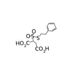 O=C(O)CC(C(=O)O)S(=O)(=O)SCCc1ccccc1